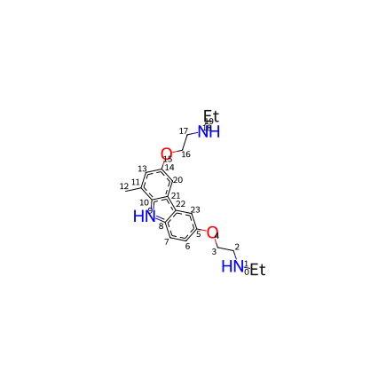 CCNCCOc1ccc2[nH]c3c(C)cc(OCCNCC)cc3c2c1